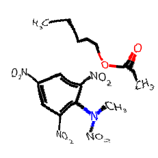 CCCCOC(C)=O.CN(c1c([N+](=O)[O-])cc([N+](=O)[O-])cc1[N+](=O)[O-])[N+](=O)[O-]